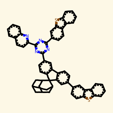 c1ccc2nc(-c3nc(-c4ccc5c(c4)-c4ccc(-c6ccc7sc8ccccc8c7c6)cc4C54C5CC6CC(C5)CC4C6)nc(-c4ccc5c(c4)sc4ccccc45)n3)ccc2c1